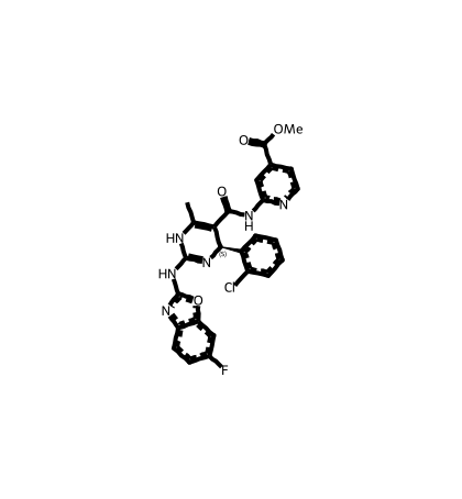 COC(=O)c1ccnc(NC(=O)C2=C(C)NC(Nc3nc4ccc(F)cc4o3)=N[C@@H]2c2ccccc2Cl)c1